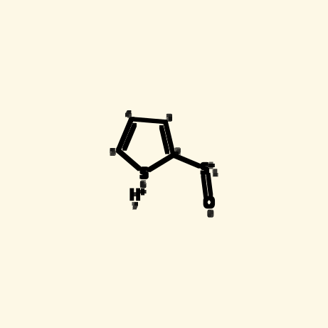 O=[S+]c1cccs1.[H+]